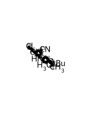 CC(C)(C)[Si](C)(C)Oc1ccc(Nc2cc(C#N)cc(OCCCl)c2)cc1